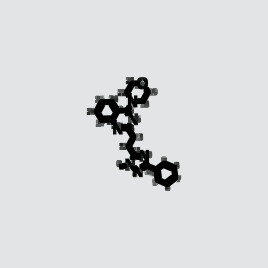 Cn1nc(-c2ccccc2)nc1CCc1nc(N2CCOCC2)c2ccccc2n1